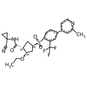 CCO[C@@H]1C[C@H](S(=O)(=O)c2ccc(-c3ccnc(C)c3)cc2C(F)(F)F)C[C@H]1C(=O)NC1(C#N)CC1